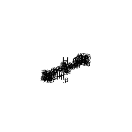 CC1(C)c2cc(-c3ccc(-c4c5ccccc5c(-c5ccc(-c6ccc7c(c6)C(C)(C)c6cc([Si](c8ccccc8)(c8ccccc8)c8ccccc8)ccc6-7)cc5)c5ccccc45)cc3)ccc2-c2ccc([Si](c3ccccc3)(c3ccccc3)c3ccccc3)cc21